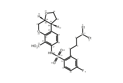 CCN(CC)CCCc1cc(F)ccc1S(=O)(=O)Nc1ccc2c(c1C(=O)O)OC[C@@H]1OCC[C@H]21